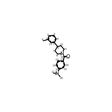 Cc1cc[c]c(C2CCN(C(=O)c3ccc(N(C)C)cc3)CC2)c1